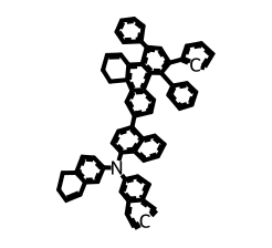 C1=Cc2cc(N(c3ccc4ccccc4c3)c3ccc(-c4ccc5c(c4)c4c(c6c(-c7ccccc7)cc(-c7ccccc7)c(-c7ccccc7)c65)C=CCC4)c4ccccc34)ccc2CC1